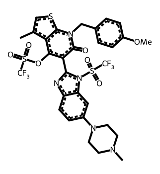 COc1ccc(Cn2c(=O)c(-c3nc4ccc(N5CCN(C)CC5)cc4n3S(=O)(=O)C(F)(F)F)c(OS(=O)(=O)C(F)(F)F)c3c(C)csc32)cc1